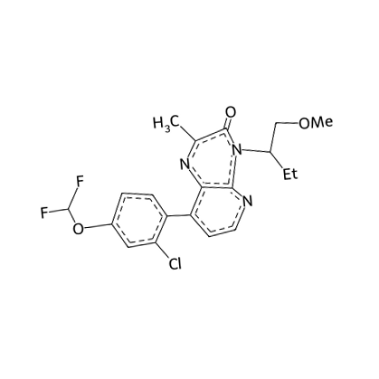 CCC(COC)n1c(=O)c(C)nc2c(-c3ccc(OC(F)F)cc3Cl)ccnc21